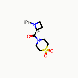 CC(C)N1CC[C@H]1C(=O)N1CCS(=O)(=O)CC1